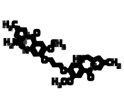 C=C1CC2CNc3cc(OCCCOc4cc5c(cc4OC)C(=O)N4CC(=C)C[C@@]4(N)C=N5)c(OC)cc3C(=O)N2C1